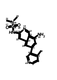 Cc1ccncc1-c1cc(N)c2cnc(NS(=O)(=O)N(C)C)cc2c1